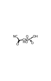 N#CC(=O)C#N.O=[Se](=O)(O)O